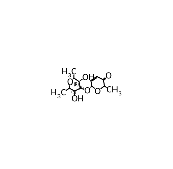 CC1OC(O[C@@H]2[C@H](O)C(C)OC(C)[C@@H]2O)C=CC1=O